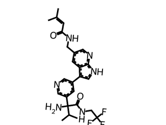 CC(C)=CC(=O)NCc1cnc2[nH]cc(-c3cncc(C(N)(C(=O)NCC(F)(F)F)C(C)C)c3)c2c1